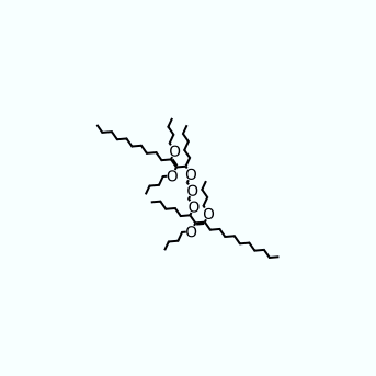 CCCCCCCCCCC(OCCCC)=C(OCCCC)C(CCCCC)OCOCOC(CCCCC)C(OCCCC)=C(CCCCCCCCCC)OCCCC